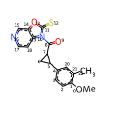 COc1ccc(C2CC2C(=O)n2c(=S)oc3cnccc32)cc1C